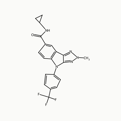 Cn1nc2c3cc(C(=O)NC4CC4)ccc3n(-c3ccc(C(F)(F)F)cc3)c2n1